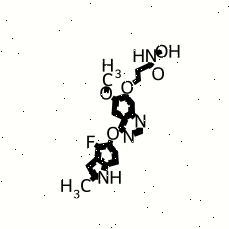 COc1cc2c(Oc3ccc4[nH]c(C)cc4c3F)ncnc2cc1OCCC(=O)NO